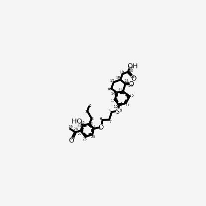 CCCc1c(OCCCSc2ccc3c(c2)CCC(CC(=O)O)C3=O)ccc(C(C)=O)c1O